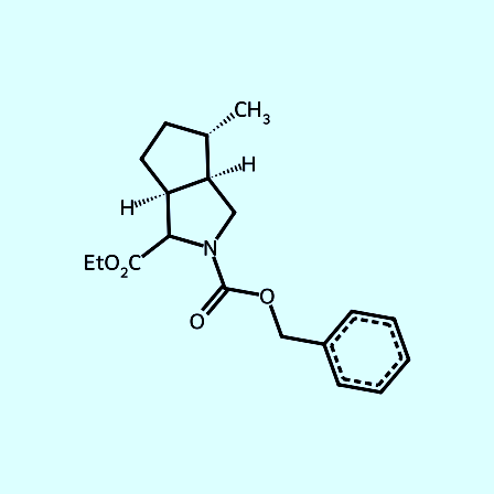 CCOC(=O)C1[C@H]2CC[C@H](C)[C@H]2CN1C(=O)OCc1ccccc1